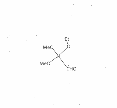 CCO[N+]([C]=O)(OC)OC